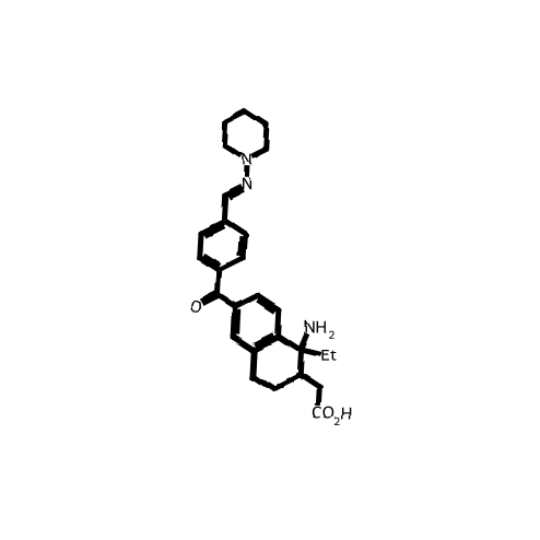 CCC1(N)c2ccc(C(=O)c3ccc(C=NN4CCCCC4)cc3)cc2CCC1CC(=O)O